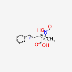 C[C@@H]([C@@H](C/C=C/c1ccccc1)C(=O)O)N(O)C=O